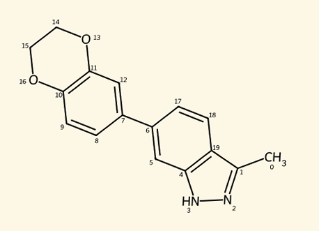 Cc1n[nH]c2cc(-c3ccc4c(c3)OCCO4)ccc12